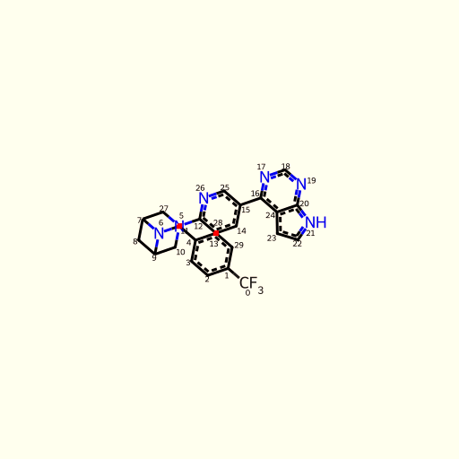 FC(F)(F)c1ccc(CN2C3CC2CN(c2ccc(-c4ncnc5[nH]ccc45)cn2)C3)cc1